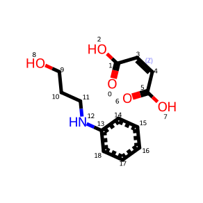 O=C(O)/C=C\C(=O)O.OCCCNc1ccccc1